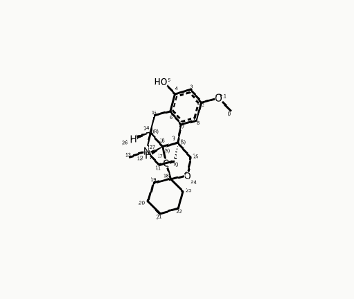 COc1cc(O)c2c(c1)[C@]13CCN(C)[C@H](C2)[C@H]1CC1(CCCCC1)OC3